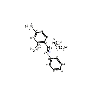 CC(=O)O.Cl.Nc1ccc(/N=N/c2ccccc2)c(N)n1